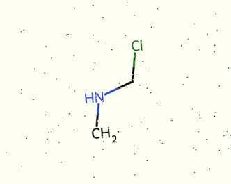 [CH2]NCCl